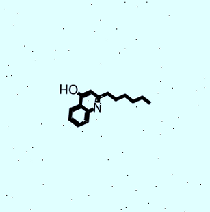 CCCCCCc1cc(O)c2ccccc2n1